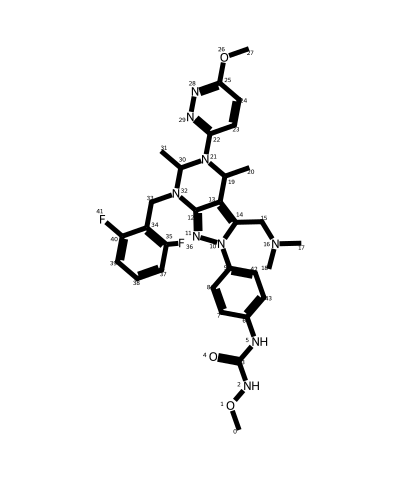 CONC(=O)Nc1ccc(-n2nc3c(c2CN(C)C)C(C)N(c2ccc(OC)nn2)C(C)N3Cc2c(F)cccc2F)cc1